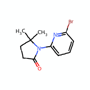 CC1(C)CCC(=O)N1c1cccc(Br)n1